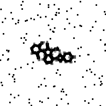 Cn1c(=O)n(N2C(=O)CCCC2=O)c2cccc(N3CC4(CCNCC4)C3)c21